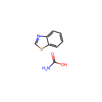 NC(=O)O.c1ccc2scnc2c1